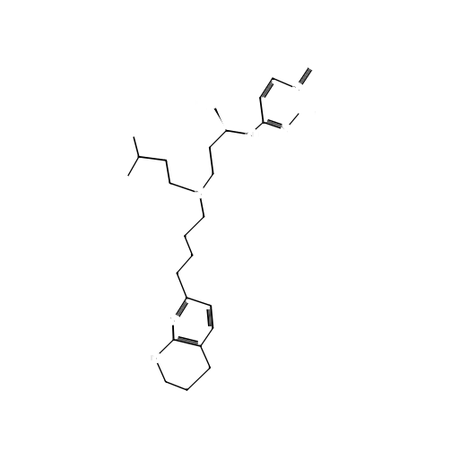 C=N/C=C\C(=N/C)N[C@@H](CCN(CCCCc1ccc2c(n1)NCCC2)CCC(F)F)C(=O)O